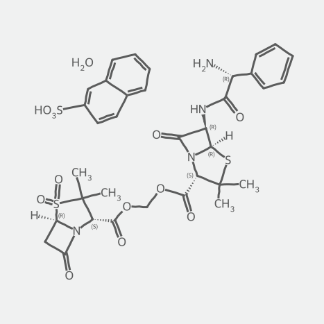 CC1(C)S[C@@H]2[C@H](NC(=O)[C@H](N)c3ccccc3)C(=O)N2[C@H]1C(=O)OCOC(=O)[C@@H]1N2C(=O)C[C@H]2S(=O)(=O)C1(C)C.O.O=S(=O)(O)c1ccc2ccccc2c1